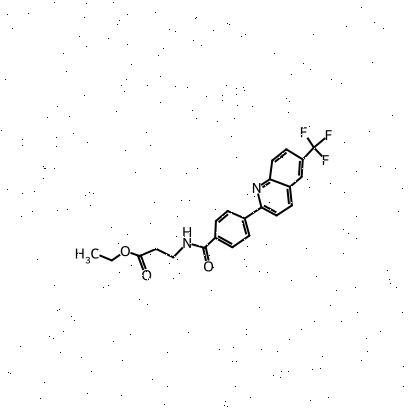 CCOC(=O)CCNC(=O)c1ccc(-c2ccc3cc(C(F)(F)F)ccc3n2)cc1